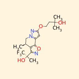 C[C@H]1Cn2nc(OCCC(C)(C)O)cc2-c2onc([C@@](C)(O)C(F)(F)F)c21